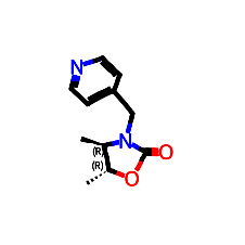 C[C@@H]1[C@@H](C)OC(=O)N1Cc1ccncc1